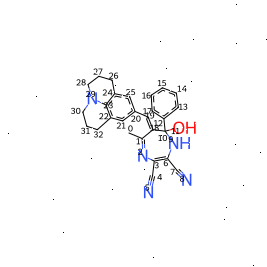 CC1=NC(C#N)=C(C#N)NC(O)(c2ccccc2)C1=Cc1cc2c3c(c1)CCCN3CCC2